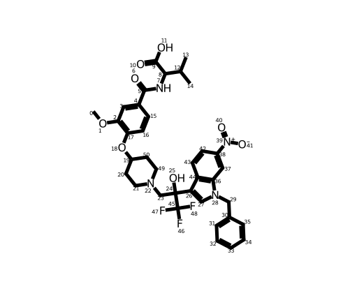 COc1cc(C(=O)NC(C(=O)O)C(C)C)ccc1OC1CCN(CC(O)(c2cn(Cc3ccccc3)c3cc([N+](=O)[O-])ccc23)C(F)(F)F)CC1